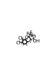 O=C(O)[C@@H]1Cc2ccc(Cl)c(Cl)c2O[C@@H]1C(F)(F)F